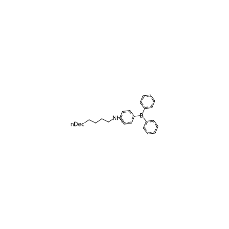 CCCCCCCCCCCCCCN.c1ccc(B(c2ccccc2)c2ccccc2)cc1